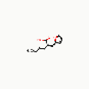 CCCCC(=Cc1ccco1)C(=O)O